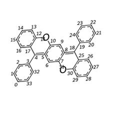 c1ccc(C2=c3cc4c(cc3Oc3ccccc32)=C(c2ccccc2)c2ccccc2O4)cc1